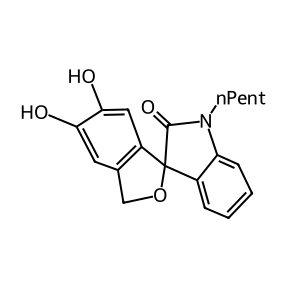 CCCCCN1C(=O)C2(OCc3cc(O)c(O)cc32)c2ccccc21